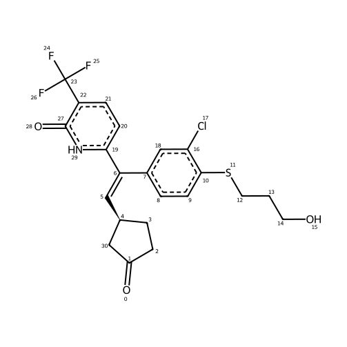 O=C1CC[C@H](/C=C(\c2ccc(SCCCO)c(Cl)c2)c2ccc(C(F)(F)F)c(=O)[nH]2)C1